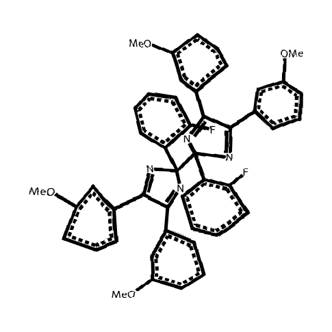 COc1cccc(C2=NC(c3ccccc3F)(C3(c4ccccc4F)N=C(c4cccc(OC)c4)C(c4cccc(OC)c4)=N3)N=C2c2cccc(OC)c2)c1